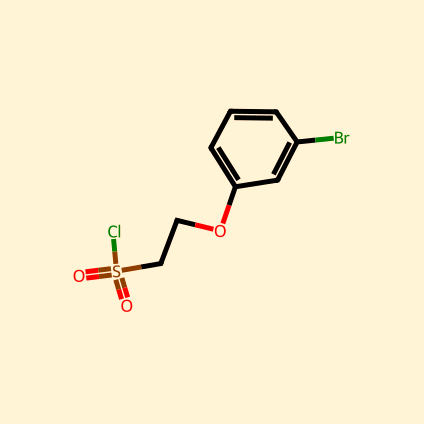 O=S(=O)(Cl)CCOc1cccc(Br)c1